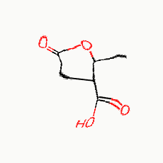 CC1OC(=O)CC1C(=O)O